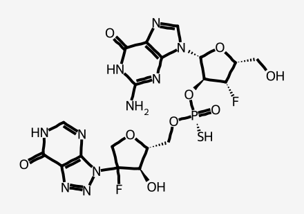 Nc1nc2c(ncn2[C@@H]2O[C@H](CO)[C@H](F)[C@H]2O[P@](=O)(S)OC[C@H]2OCC(F)(n3nnc4c(=O)[nH]cnc43)[C@@H]2O)c(=O)[nH]1